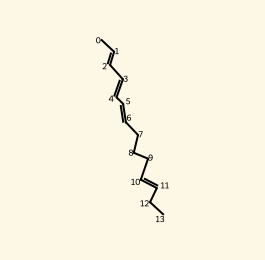 C/C=C/C=C/C=C/CCC/C=C/CC